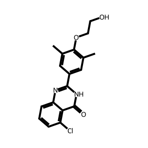 Cc1cc(-c2nc3cccc(Cl)c3c(=O)[nH]2)cc(C)c1OCCO